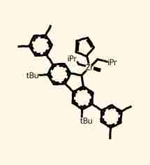 [CH2]=[Zr]([CH2]C(C)C)([CH2]C(C)C)([CH]1C=CC=C1)[CH]1c2cc(-c3cc(C)cc(C)c3)c(C(C)(C)C)cc2-c2cc(C(C)(C)C)c(-c3cc(C)cc(C)c3)cc21